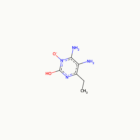 CCc1nc(O)[n+]([O-])c(N)c1N